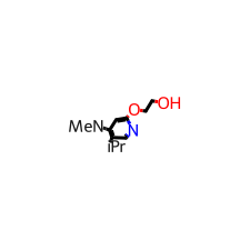 CNc1cc(OCCO)ncc1C(C)C